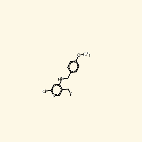 COc1ccc(CNc2cc(Cl)ncc2CF)cc1